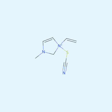 C=C[N+]1(SC#N)C=CN(C)C1